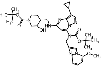 COc1cccc2nc(CN(C(=O)OC(C)(C)C)c3cc(NC[C@H]4CCN(C(=O)OC(C)(C)C)C[C@@H]4O)nc4c(C5CC5)cnn34)cn12